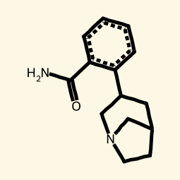 NC(=O)c1ccccc1C1CC2CCN(C2)C1